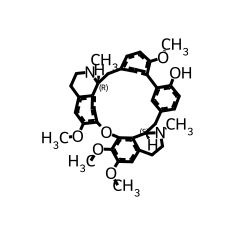 COc1cc2c3cc1Oc1c(OC)c(OC)cc4c1[C@H](Cc1ccc(O)c(c1)-c1cc(ccc1OC)C[C@H]3N(C)CC2)N(C)CC4